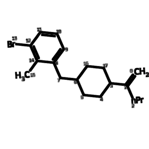 C=C(CCC)C1CCC(Cc2cccc(Br)c2C)CC1